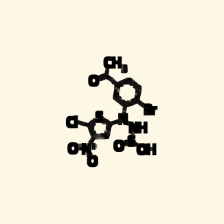 CC(=O)c1ccc(Br)c(N(NS(=O)O)c2cc([N+](=O)[O-])c(Cl)s2)c1